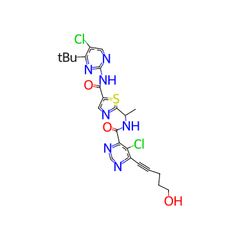 CC(NC(=O)c1ncnc(C#CCCCO)c1Cl)c1ncc(C(=O)Nc2ncc(Cl)c(C(C)(C)C)n2)s1